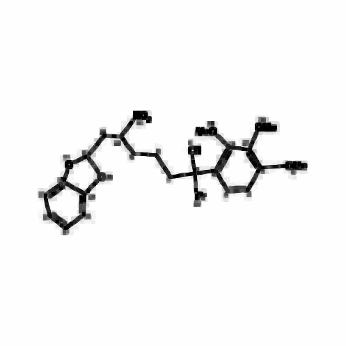 COc1ccc(C(C#N)(CCCC(CC2Oc3ccccc3O2)[N+](=O)[O-])C(C)C)c(OC)c1OC